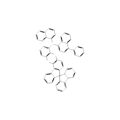 C1=CC2c3ccccc3C3(c4ccccc4-c4c3ccc3c4Oc4cccc(N(c5cccc6ccccc56)c5ccc(-c6ccccc6)c6ccccc56)c4O3)C2C=C1